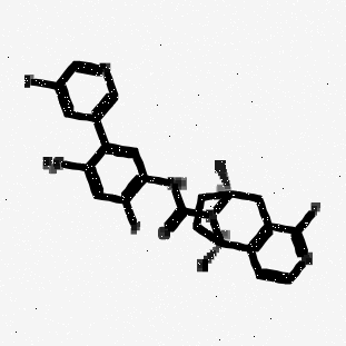 O=C(Nc1cc(-c2cncc(F)c2)c(C(F)(F)F)cc1F)N1[C@H]2CC[C@@H]1c1ccnc(F)c1C2